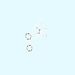 OC[C@H]1OC(Sc2ccccc2Cc2ccccc2)[C@H](O)[C@H]1O